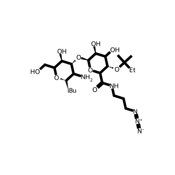 CC[C@H](C)[C@@H]1OC(CO)[C@@H](O)[C@H](O[C@@H]2OC(C(=O)NCCCN=[N+]=[N-])[C@@H](OC(C)(C)CC)C(O)[C@@H]2O)C1N